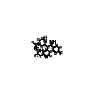 CC(O)Cc1cc(/C(C(=N)c2ccc(F)cc2)=C2\CN([S+](C)[O-])CCN2)ccn1